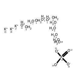 O.O.O.O.O.O.O.O.O.O.O.O.O=P([O-])([O-])[O-].[K+].[K+].[K+]